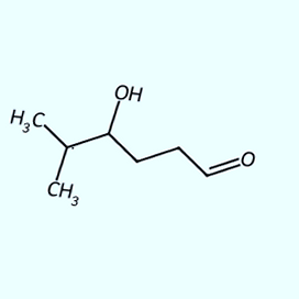 C[C](C)C(O)CCC=O